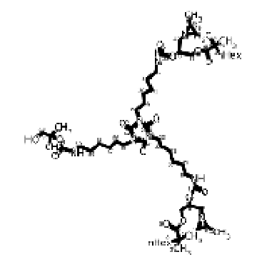 CCCCCCC(C)(C)C(=O)OCC(CN1CC1C)OC(=O)NCCCCCCn1c(=O)n(CCCCCCNC(=O)OC(COC(=O)C(C)(C)CCCCCC)CN2CC2C)c(=O)n(CCCCCCNC(=O)OC(C)(C)CO)c1=O